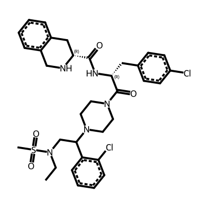 CCN(CC(c1ccccc1Cl)N1CCN(C(=O)[C@@H](Cc2ccc(Cl)cc2)NC(=O)[C@H]2Cc3ccccc3CN2)CC1)S(C)(=O)=O